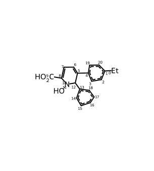 CCc1ccc(C2=CC=C(C(=O)O)N(O)C2c2ccccc2)cc1